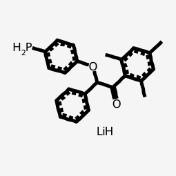 Cc1cc(C)c(C(=O)C(Oc2ccc(P)cc2)c2ccccc2)c(C)c1.[LiH]